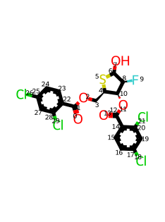 O=C(OC[C@H]1SC(O)[C@@H](F)[C@@H]1OC(=O)c1ccc(Cl)cc1Cl)c1ccc(Cl)cc1Cl